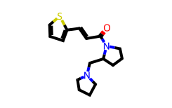 O=C(C=Cc1cccs1)N1CCCC1CN1CCCC1